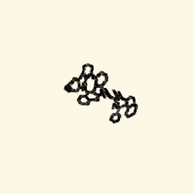 c1ccc(-c2nc(-n3c4cccc5c6cccc7c8ccccc8n(c67)c6c7ccccc7cc3c6c54)nc3ccc4ccccc4c23)cc1